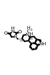 CN1C[C@@H](CN2CC(=O)NC2=O)CC2c3cccc4[nH]cc(c34)C[C@H]21